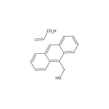 C=CC(=O)O.OCc1c2ccccc2cc2ccccc12